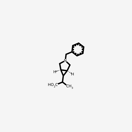 CC(C(=O)O)C1[C@H]2CN(Cc3ccccc3)C[C@@H]12